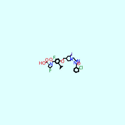 O=C(O)[C@@H]1C[C@@H](F)CN1C(=O)c1cc(C2CC2)c(OCC2CCN(Cc3noc(-c4ccccc4Cl)n3)C(I)C2)cc1F